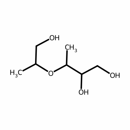 CC(CO)OC(C)C(O)CO